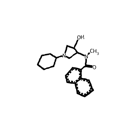 CN(C(=O)c1cccc2ccccc12)C1CN(C2CCCCC2)CC1O